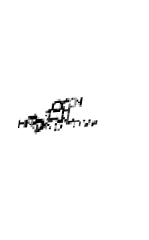 COCCNC(=O)Cc1nc2cnc3[nH]ccc3c2n1CC1CCC(CC#N)CC1